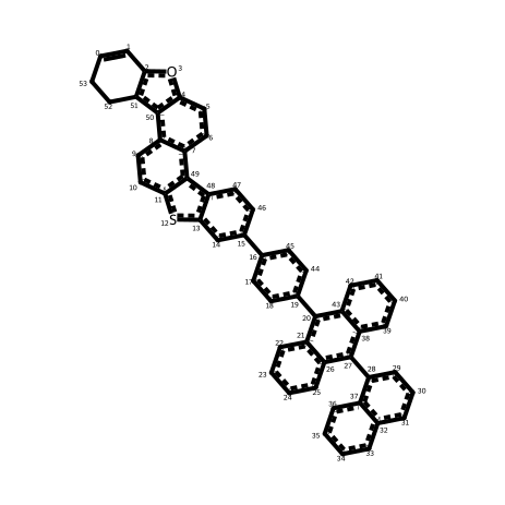 C1=Cc2oc3ccc4c(ccc5sc6cc(-c7ccc(-c8c9ccccc9c(-c9cccc%10ccccc9%10)c9ccccc89)cc7)ccc6c54)c3c2CC1